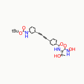 C[C@@H](O)[C@H](NC(=O)c1ccc(C#CC#Cc2cccc(NC(=O)OC(C)(C)C)c2)cc1)C(=O)NO